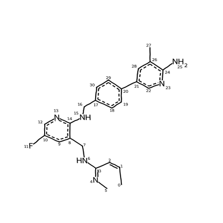 C/C=C\C(=N/C)NCc1cc(F)cnc1NCc1ccc(-c2cnc(N)c(C)c2)cc1